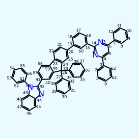 c1ccc(-c2cc(-c3ccccc3)nc(-c3cccc(-c4ccc5c(c4)C(c4ccccc4)(c4ccccc4)c4cc(-c6nc7ccccc7n6-c6ccccc6)ccc4-5)c3)n2)cc1